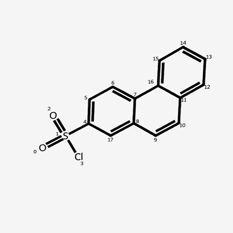 O=S(=O)(Cl)c1ccc2c(ccc3ccccc32)c1